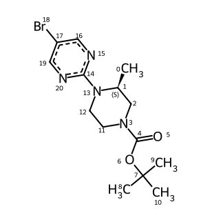 C[C@H]1CN(C(=O)OC(C)(C)C)CCN1c1ncc(Br)cn1